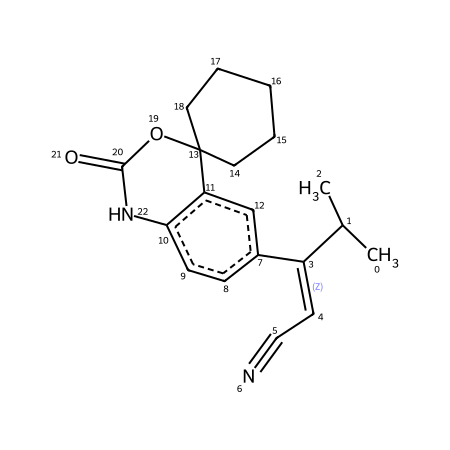 CC(C)/C(=C/C#N)c1ccc2c(c1)C1(CCCCC1)OC(=O)N2